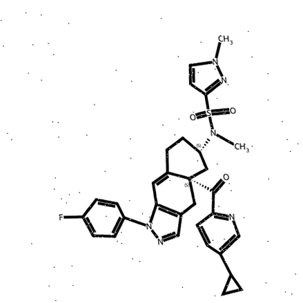 CN([C@H]1CCC2=Cc3c(cnn3-c3ccc(F)cc3)C[C@]2(C(=O)c2ccc(C3CC3)cn2)C1)S(=O)(=O)c1ccn(C)n1